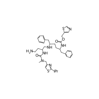 CC(C)c1nc(CN(C)C(=O)NC(CCN)CNC(CCC(Cc2ccccc2)NC(=O)OCc2cncs2)Cc2ccccc2)cs1